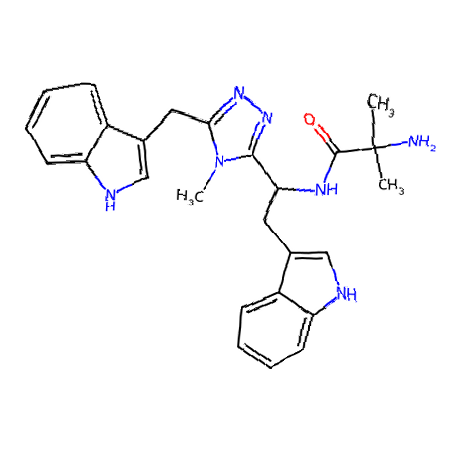 Cn1c(Cc2c[nH]c3ccccc23)nnc1C(Cc1c[nH]c2ccccc12)NC(=O)C(C)(C)N